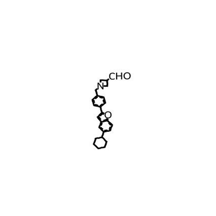 O=CC1CN(Cc2ccc(-c3cc4cc(C5CCCCC5)ccc4o3)cc2)C1